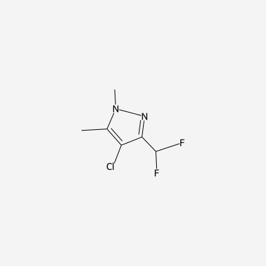 Cc1c(Cl)c(C(F)F)nn1C